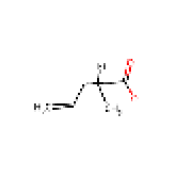 C=CCC(C)(CC)C([O])=O